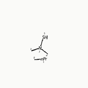 CCCC.CN(C)S